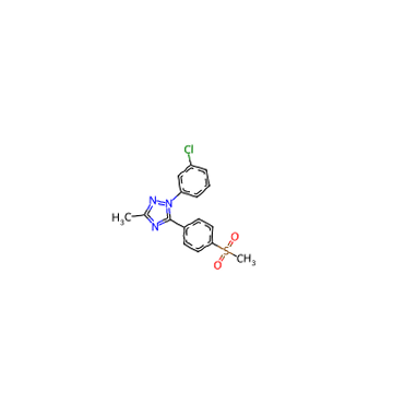 Cc1nc(-c2ccc(S(C)(=O)=O)cc2)n(-c2cccc(Cl)c2)n1